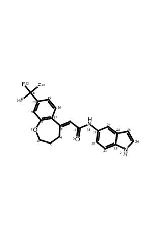 O=C(C=C1CCCOc2cc(C(F)(F)F)ccc21)Nc1ccc2[nH]ccc2c1